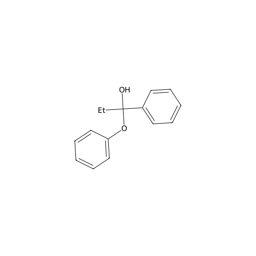 CCC(O)(Oc1ccccc1)c1ccccc1